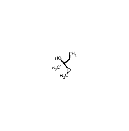 CC[C@](C)(O)OC